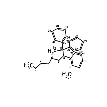 CCCCCCC(c1ccccc1)C(P)(c1ccccc1)c1ccccc1.O